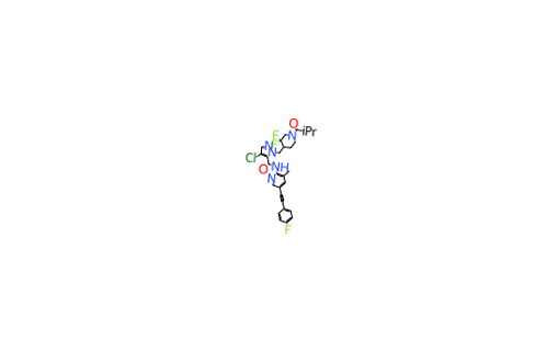 Cc1cc(C#Cc2ccc(F)cc2)cnc1NC(=O)c1c(Cl)cnn1CC1CCN(C(=O)C(C)C)CC1(F)F